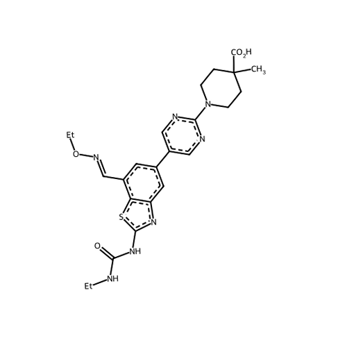 CCNC(=O)Nc1nc2cc(-c3cnc(N4CCC(C)(C(=O)O)CC4)nc3)cc(C=NOCC)c2s1